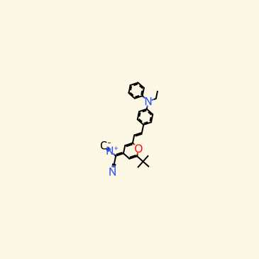 [C-]#[N+]/C(C#N)=C1C=C(/C=C/c2ccc(N(CC)c3ccccc3)cc2)OC(C(C)(C)C)=C\1